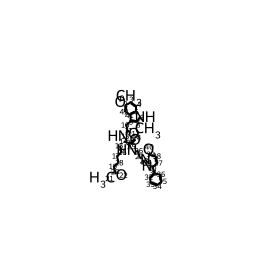 COc1ccc2[nH]c(C)c(CC(=O)N[C@@H](CCCCCC(C)=O)C(=O)NCCn3nc(-c4ccccc4)ccc3=O)c2c1